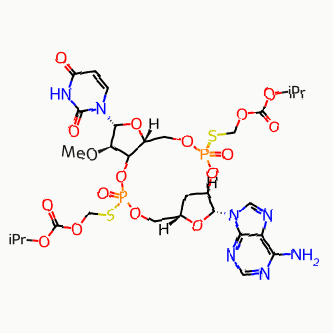 CO[C@@H]1C2OP(=O)(SCOC(=O)OC(C)C)OC[C@@H]3C[C@@H](OP(=O)(SCOC(=O)OC(C)C)OC[C@H]2O[C@H]1n1ccc(=O)[nH]c1=O)[C@H](n1cnc2c(N)ncnc21)O3